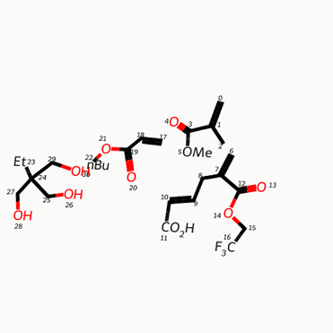 C=C(C)C(=O)OC.C=C(CC=CC(=O)O)C(=O)OCC(F)(F)F.C=CC(=O)OCCCC.CCC(CO)(CO)CO